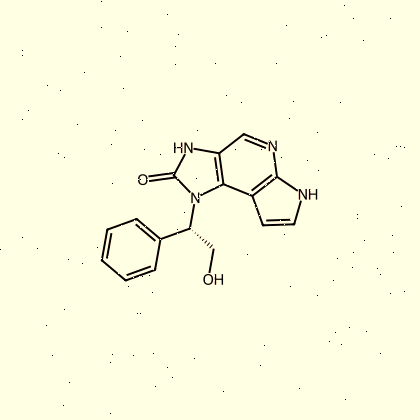 O=c1[nH]c2cnc3[nH]ccc3c2n1[C@H](CO)c1ccccc1